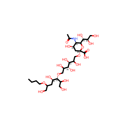 CCCCOC(CO)C[C@@H](O)[C@H](OCC(O)[C@@H](O)[C@@H](O)C(O)CO[C@]1(C(=O)O)C[C@@H](O)[C@@H](NC(C)=O)C([C@H](O)[C@H](O)CO)O1)C(O)CO